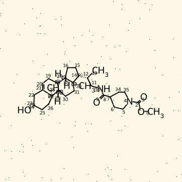 COC(=O)N1CCC(C(=O)NCC(C)[C@H]2CC[C@H]3[C@@H]4CC=C5C[C@@H](O)CC[C@]5(C)[C@H]4CC[C@]23C)CC1